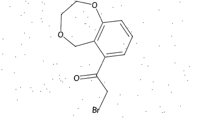 O=C(CBr)c1cccc2c1COCCO2